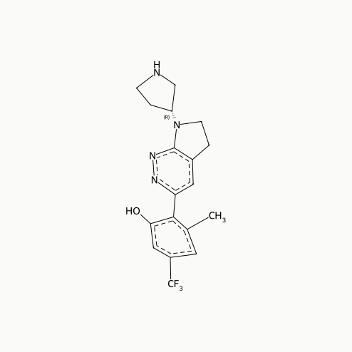 Cc1cc(C(F)(F)F)cc(O)c1-c1cc2c(nn1)N([C@@H]1CCNC1)CC2